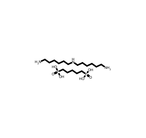 NCCCCCCNCCCCCCN.O=P(O)(O)CCCCCP(=O)(O)O